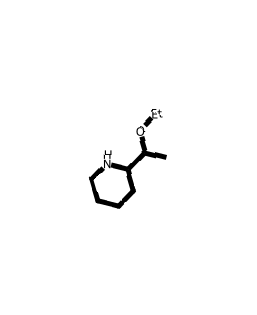 CCOC(C)C1CCCCN1